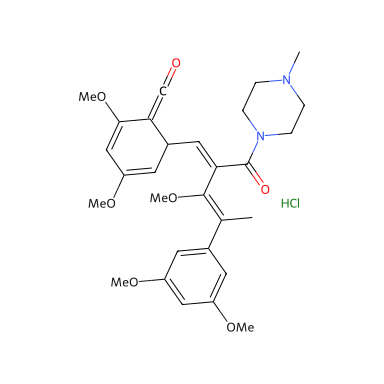 COC1=CC(C=C(C(=O)N2CCN(C)CC2)C(OC)=C(C)c2cc(OC)cc(OC)c2)C(=C=O)C(OC)=C1.Cl